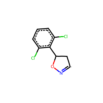 Clc1cccc(Cl)c1C1C[C]=NO1